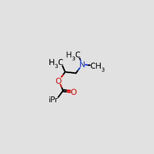 CC(CN(C)C)OC(=O)C(C)C